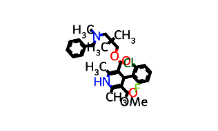 COC(=O)C1=C(C)NC(C)=C(C(=O)OCC(C)(C)CN(C)Cc2ccccc2)C1c1c(F)cccc1Cl